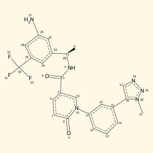 C[C@@H](NC(=O)c1ccc(=O)n(-c2cccc(-c3cnnn3C)c2)c1)c1cc(N)cc(C(F)(F)F)c1